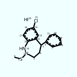 CSN1CCC(c2ccccc2)c2cc(Cl)ccc2N1.I